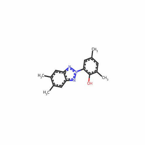 Cc1cc(C)c(O)c(-n2nc3cc(C)c(C)cc3n2)c1